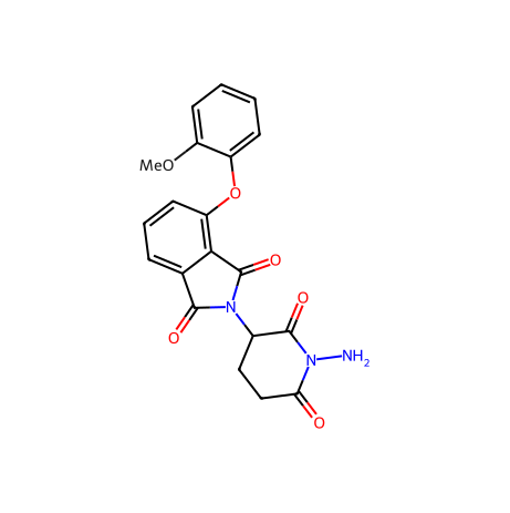 COc1ccccc1Oc1cccc2c1C(=O)N(C1CCC(=O)N(N)C1=O)C2=O